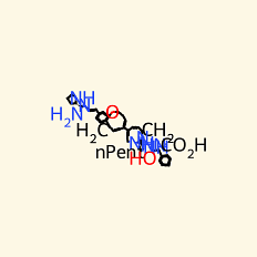 C=C1\C=C/C(C2=C/CCOc3cc(/C=C/N=C(\N)[C@@H]4CCCN4)ccc3C(=C)/C=C\2)=C\CN/C([C@H](CCCCC)NC(O)[C@H](NC(=O)O)c2ccccc2)=N\1